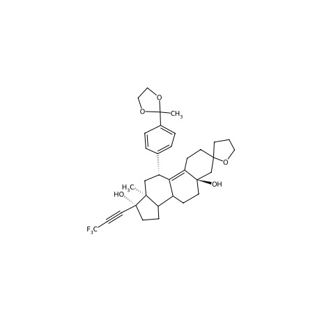 CC1(c2ccc([C@H]3C[C@@]4(C)C(CC[C@@]4(O)C#CC(F)(F)F)C4CC[C@@]5(O)CC6(CCCO6)CCC5=C43)cc2)OCCO1